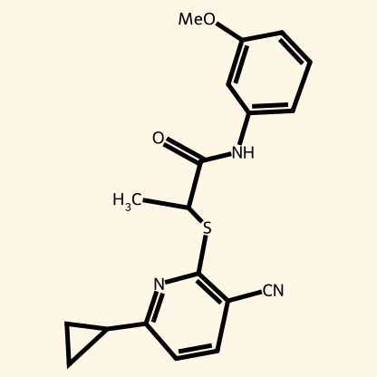 COc1cccc(NC(=O)C(C)Sc2nc(C3CC3)ccc2C#N)c1